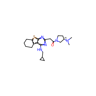 CN(C)[C@@H]1CCN(C(=O)Cc2nc(NCC3CC3)c3c4c(sc3n2)CCCC4)C1